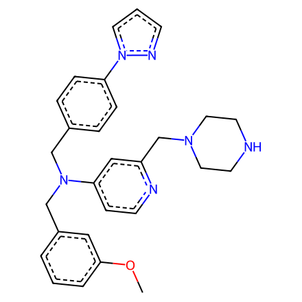 COc1cccc(CN(Cc2ccc(-n3cccn3)cc2)c2ccnc(CN3CCNCC3)c2)c1